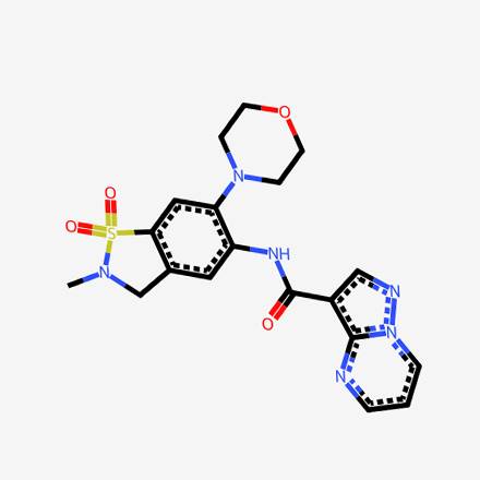 CN1Cc2cc(NC(=O)c3cnn4cccnc34)c(N3CCOCC3)cc2S1(=O)=O